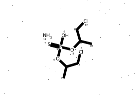 CC(CCl)OP(O)(=S)OC(C)CCl.N